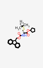 CC(C)(C)SC[C@@H](NC(=O)OCC1c2ccccc2-c2ccccc21)C(=O)OC1CCCC1